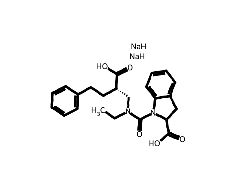 CCN(C[C@H](CCc1ccccc1)C(=O)O)C(=O)N1c2ccccc2CC1C(=O)O.[NaH].[NaH]